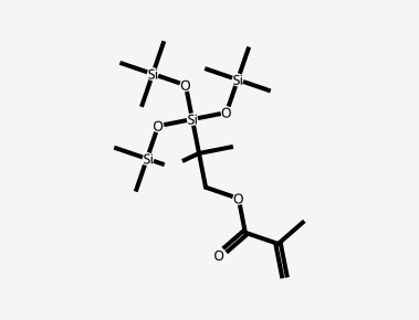 C=C(C)C(=O)OCC(C)(C)[Si](O[Si](C)(C)C)(O[Si](C)(C)C)O[Si](C)(C)C